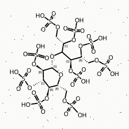 O=S(=O)(O)OC[C@H](OS(=O)(=O)O)C(O[C@@H]1O[C@H](COS(=O)(=O)O)[C@@H](OS(=O)(=O)O)[C@H](OS(=O)(=O)O)[C@H]1OS(=O)(=O)O)[C@H](OS(=O)(=O)O)[C@@H](COS(=O)(=O)O)OS(=O)(=O)O